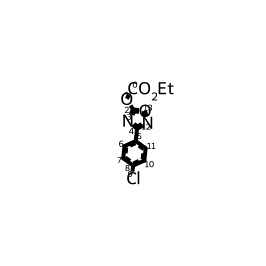 CCOC(=O)Oc1nc(-c2ccc(Cl)cc2)no1